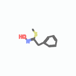 CSC(Cc1ccccc1)=NO